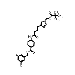 CC(C)(C)C(=O)OCn1cc(CCCC(=O)NC2CCN(C(=O)OCc3cc(F)cc(Cl)c3)CC2)nn1